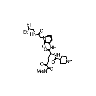 CCC(CC)CNC(=O)Cn1cccc(NC(=O)C(CCC(=O)C(=O)NC)NC(=O)C2CCN(C)CC2)c1=O